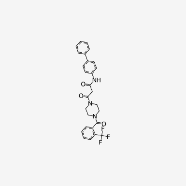 O=C(CC(=O)N1CCN(C(=O)c2ccccc2C(F)(F)F)CC1)Nc1ccc(-c2ccccc2)cc1